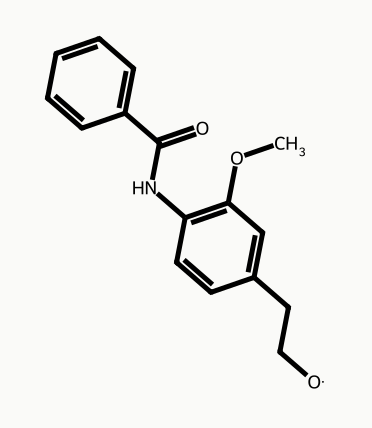 COc1cc(CC[O])ccc1NC(=O)c1ccccc1